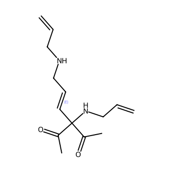 C=CCNC/C=C/C(NCC=C)(C(C)=O)C(C)=O